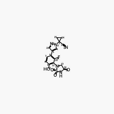 N#CC1(n2cc(-c3ccc(O)c(N4CC(=O)NS4(=O)=O)c3F)cn2)CC1